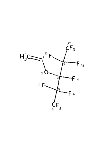 C=COC(F)(C(F)(F)C(F)(F)F)C(F)(F)C(F)(F)F